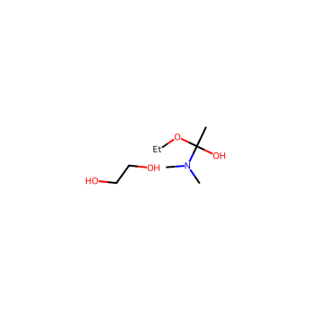 CCOC(C)(O)N(C)C.OCCO